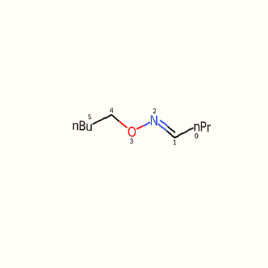 CCCC=NOCCCCC